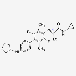 CC/C(=C\c1c(C)c(F)c(-c2ccc(NC3CCCC3)cc2)c(C)c1F)C(=O)NC1CC1